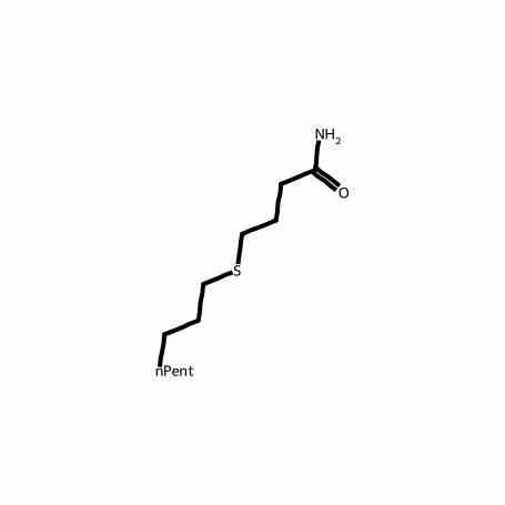 CCCCCCCCSCCCC(N)=O